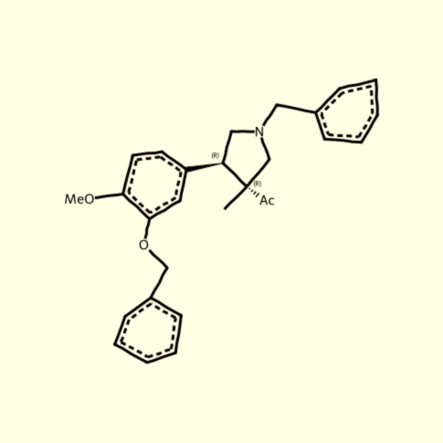 COc1ccc([C@H]2CN(Cc3ccccc3)C[C@]2(C)C(C)=O)cc1OCc1ccccc1